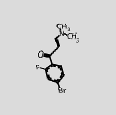 CN(C)C=CC(=O)c1ccc(Br)cc1F